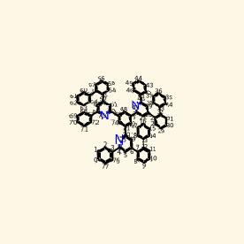 c1ccc(-c2cc(-c3ccccc3-c3ccccc3)cc(-c3cc(-c4cc(-c5ccccc5-c5ccccc5)cc(-c5ccccc5)n4)cc(-c4cc(-c5ccccc5-c5ccccc5)cc(-c5ccccc5)n4)c3)n2)cc1